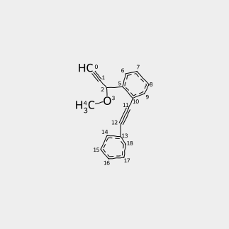 C#CC(OC)c1ccccc1C#Cc1ccccc1